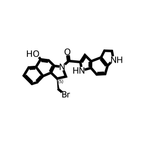 O=C(c1cc2c3c(ccc2[nH]1)NCC3)N1C[C@@H](CBr)c2c1cc(O)c1ccccc21